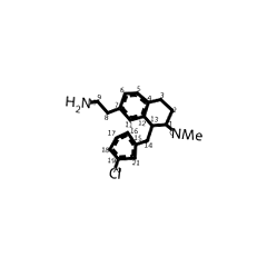 CNC1CCc2ccc(CCN)cc2C1Cc1cccc(Cl)c1